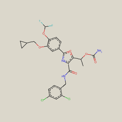 CC(OC(N)=O)c1oc(-c2ccc(OC(F)F)c(OCC3CC3)c2)nc1C(=O)NCc1ccc(Cl)cc1Cl